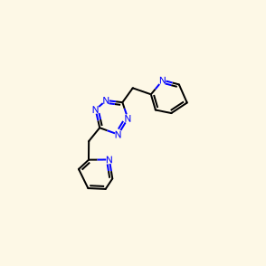 c1ccc(Cc2nnc(Cc3ccccn3)nn2)nc1